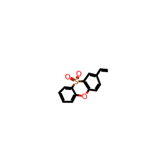 C=Cc1ccc2c(c1)S(=O)(=O)c1ccccc1O2